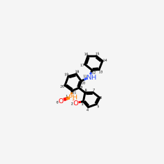 O=[PH]1Oc2ccccc2-c2c(Nc3ccccc3)cccc21